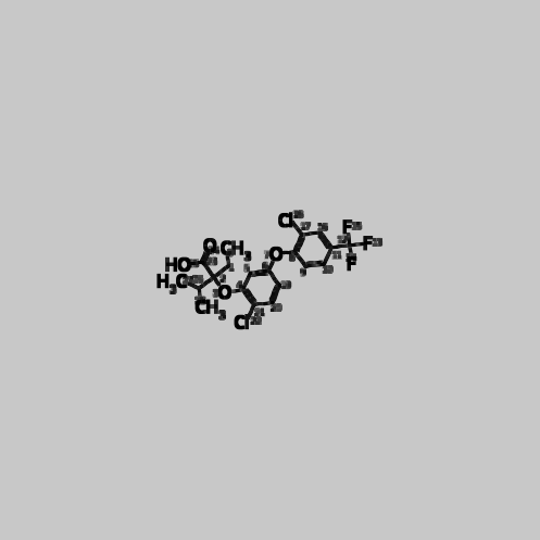 CCC(Oc1cc(Oc2ccc(C(F)(F)F)cc2Cl)ccc1Cl)(C(=O)O)C(C)C